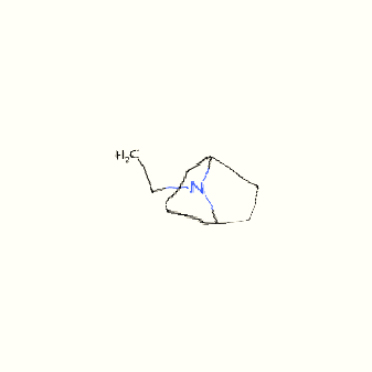 [CH2]CN1C2CCC1CC2